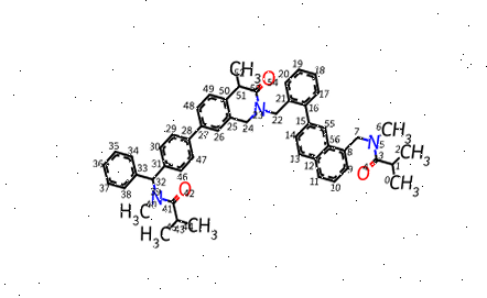 CC(C)C(=O)N(C)Cc1cccc2ccc(-c3ccccc3CN3Cc4cc(-c5ccc(C(c6ccccc6)N(C)C(=O)C(C)C)cc5)ccc4C(C)C3=O)cc12